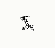 CCCCC1=NC2(CCCC2)C(=O)N1Cc1ccc(-c2cc(Br)ccc2OC(C)(C)C(=O)OCC)cc1